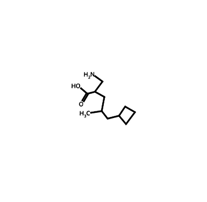 CC(CC1CCC1)CC(CN)C(=O)O